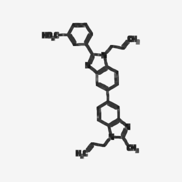 C=CCn1c(C)nc2cc(-c3ccc4c(c3)nc(-c3cccc(C(=O)O)c3)n4CC=C)ccc21